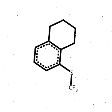 FC(F)(F)Sc1cccc2c1[CH]CCC2